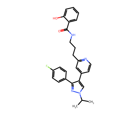 CC(C)n1cc(-c2ccnc(CCCNC(=O)c3ccccc3O)c2)c(-c2ccc(F)cc2)n1